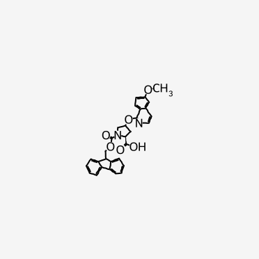 COc1ccc2c(O[C@@H]3C[C@@H](C(=O)O)N(C(=O)OCC4c5ccccc5-c5ccccc54)C3)nccc2c1